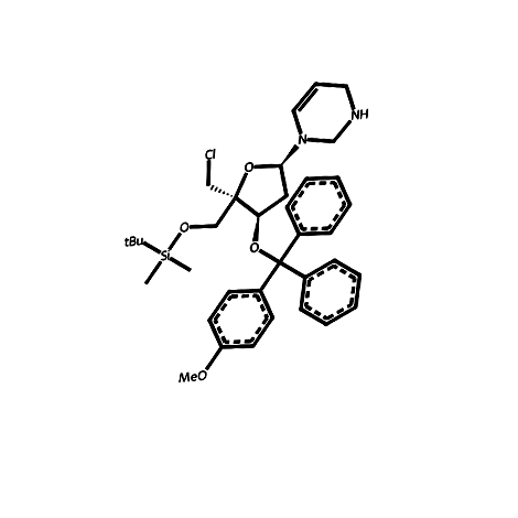 COc1ccc(C(O[C@@H]2C[C@H](N3C=CCNC3)O[C@]2(CCl)CO[Si](C)(C)C(C)(C)C)(c2ccccc2)c2ccccc2)cc1